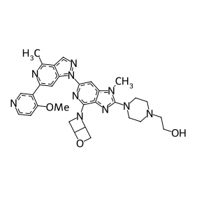 COc1ccncc1-c1cc2c(cnn2-c2cc3c(nc(N4CCN(CCO)CC4)n3C)c(N3CC4OCC43)n2)c(C)n1